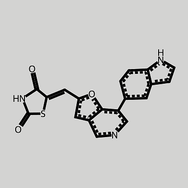 O=C1NC(=O)/C(=C/c2cc3cncc(-c4ccc5[nH]ccc5c4)c3o2)S1